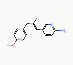 COc1ccc(CC(C)=Cc2ccc(N)nc2)cc1